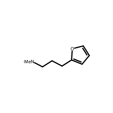 C[N]CCCc1ccco1